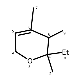 CCC1(C)OCC=C(C)C1C